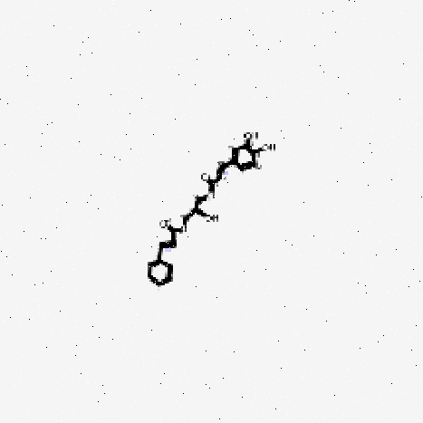 O=C(/C=C/C1=CCCC=C1)OCC(O)COC(=O)/C=C/c1ccc(O)c(O)c1